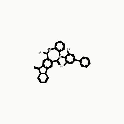 C=C1c2cc3c(cc2C2C=CC=CC12)C(=C)N(c1c(C(C)C)cc(-c2ccccc2)cc1C(C)C)c1ccccc1NC3CCC